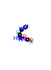 CN1CCC(n2cc(-c3cc4c(C(=O)Nc5ccc(OC(F)F)cc5)n[nH]c4cc3F)cn2)CC1